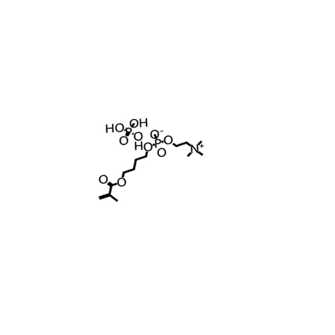 C=C(C)C(=O)OCCCCOP(=O)([O-])OCC[N+](C)(C)C.O=P(O)(O)O